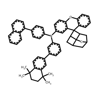 CC1(C)CCC(C)(C)c2cc(-c3cccc(N(c4ccc(-c5cccc6ccccc56)cc4)c4ccc5c(c4)C4(c6ccccc6O5)C5CC6CC7CC4C75C6)c3)ccc21